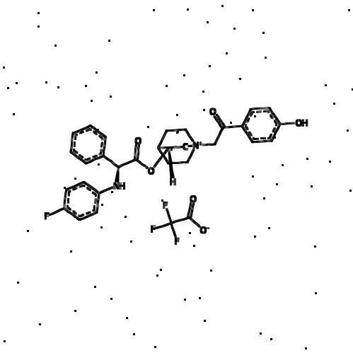 O=C(C[N+]12CCC(CC1)[C@@H](OC(=O)[C@@H](Nc1ccc(F)cc1)c1ccccc1)C2)c1ccc(O)cc1.O=C([O-])C(F)(F)F